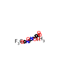 Cc1c([C@@H](O)CN2CCC3(CC2)CCN(c2ccc(OC(F)(F)F)cc2)C3=O)ccc2c1COC2=O